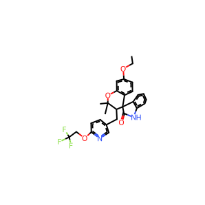 CCOc1ccc2c(c1)OC(C)(C)C(Cc1ccc(OCC(F)(F)F)nc1)C21C(=O)Nc2ccccc21